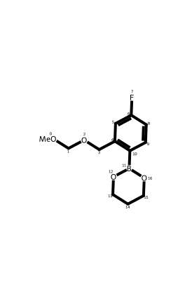 COCOCc1cc(F)ccc1B1OCCCO1